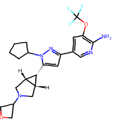 Nc1ncc(-c2cc([C@@H]3[C@@H]4CN(C5COC5)C[C@@H]43)n(C3CCCC3)n2)cc1OC(F)(F)F